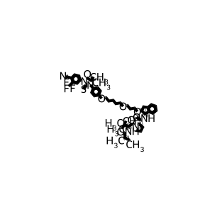 CC[C@@H](C)C(=O)N[C@H](C(=O)N1CCC[C@H]1C(=O)N[C@H]1c2ccccc2C[C@H]1OCCCOCCCCCOc1ccc(N2C(=S)N(c3ccc(C#N)c(C(F)(F)F)c3)C(=O)C2(C)C)cc1)C(C)(C)C